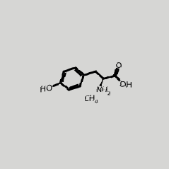 C.N[C@@H](Cc1ccc(O)cc1)C(=O)O